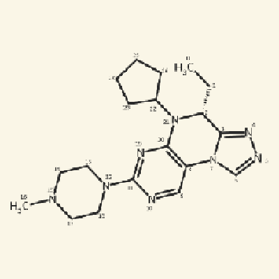 CC[C@@H]1c2nncn2-c2cnc(N3CCN(C)CC3)nc2N1C1CCCC1